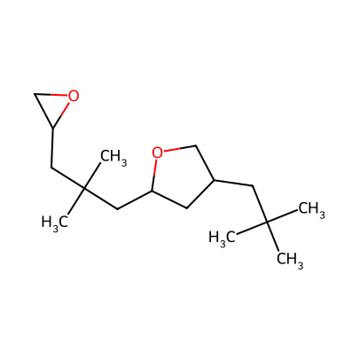 CC(C)(C)CC1COC(CC(C)(C)CC2CO2)C1